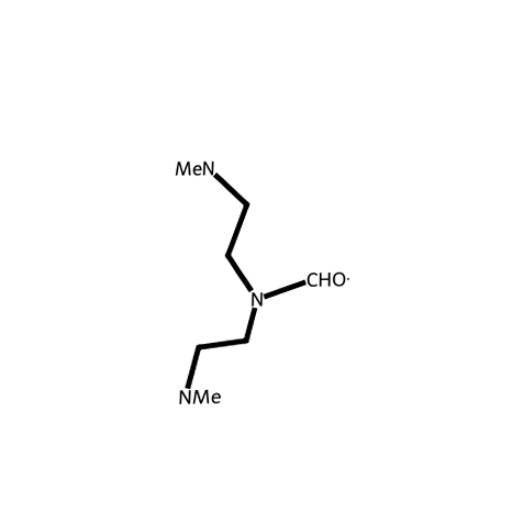 CNCCN([C]=O)CCNC